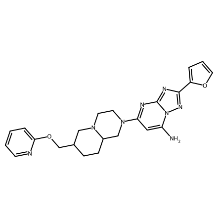 Nc1cc(N2CCN3CC(COc4ccccn4)CCC3C2)nc2nc(-c3ccco3)nn12